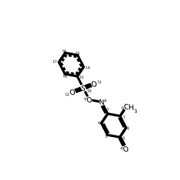 CC1=CC(=O)C=CC1=NOS(=O)(=O)c1ccccc1